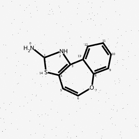 NC1NC2=C(C=COc3ccccc32)S1